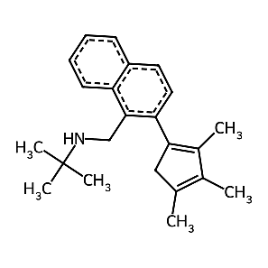 CC1=C(C)C(C)=C(c2ccc3ccccc3c2CNC(C)(C)C)C1